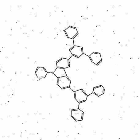 c1ccc(-c2cc(-c3ccccc3)cc(-c3ccc4c(c3)c3cc(-c5cc(-c6ccccc6)cc(-c6ccccc6)c5)ccc3n4-c3ccccc3)c2)cc1